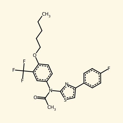 CCCCCOc1ccc(N(C(C)=O)c2nc(-c3ccc(F)cc3)cs2)cc1C(F)(F)F